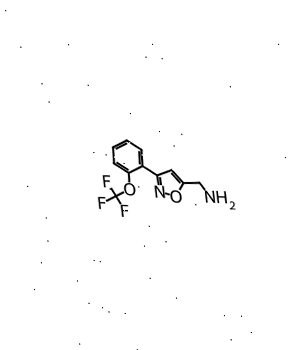 NCc1cc(-c2ccccc2OC(F)(F)F)no1